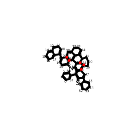 c1ccc(N(c2ccc(-c3cccc4ccccc34)cc2)c2ccccc2-c2cccc3cccc(C4CCCCC4)c23)c(-c2cccc3c2sc2ccccc23)c1